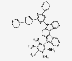 Bc1c(B)c(B)c(-n2c3ccccc3c3c4c5ccccc5n(-c5nc(C6=CCCC=C6)nc(C6=CC=C(C7=CC=CCC7)CC6)n5)c4ccc32)c(B)c1B